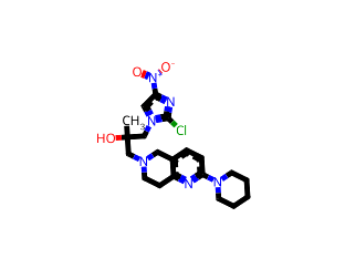 CC(O)(CN1CCc2nc(N3CCCCC3)ccc2C1)Cn1cc([N+](=O)[O-])nc1Cl